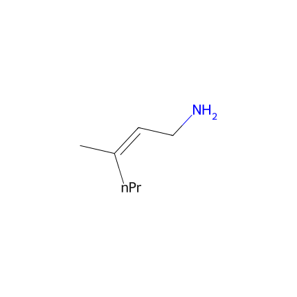 CCC/C(C)=C\CN